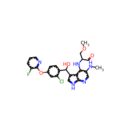 CNc1cnc2[nH]cc(C(O)c3ccc(Oc4ncccc4F)cc3Cl)c2c1NC(C=O)COC